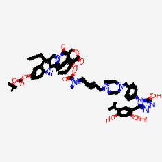 CCC1=C2Cn3c(cc4c(c3=O)COC(=O)C4(CC)OC(=O)N(C)CCCCN3CCN(Cc4ccc(-n5c(O)nnc5-c5cc(C(C)C)c(O)cc5O)cc4)CC3)C2Nc2ccc(OC(=O)OC(C)(C)C)cc21